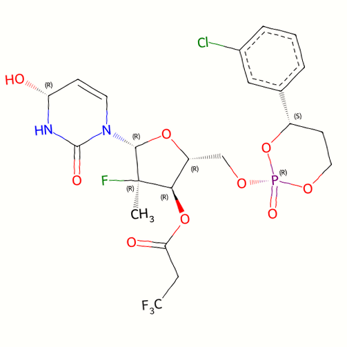 C[C@@]1(F)[C@H](OC(=O)CC(F)(F)F)[C@@H](CO[P@@]2(=O)OCC[C@@H](c3cccc(Cl)c3)O2)O[C@H]1N1C=C[C@@H](O)NC1=O